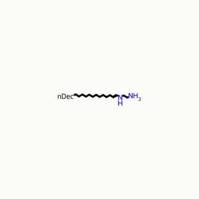 CCCCCCCCCCCCCCCCCCCCCC=CNCCN